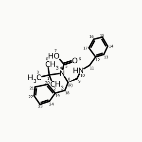 CC(C)(C)N(C(=O)O)[C@@H](CNCc1ccccc1)Cc1ccccc1